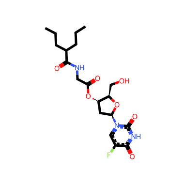 CCCC(CCC)C(=O)NCC(=O)O[C@H]1C[C@H](n2cc(F)c(=O)[nH]c2=O)O[C@@H]1CO